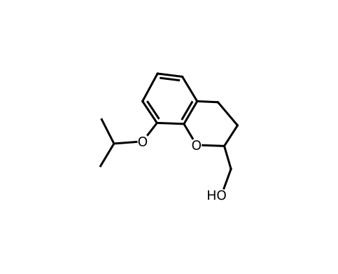 CC(C)Oc1cccc2c1OC(CO)CC2